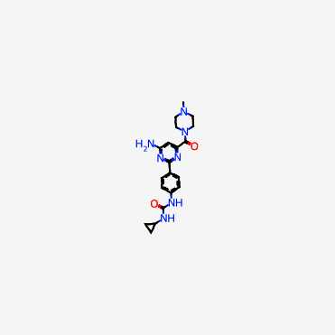 CN1CCN(C(=O)c2cc(N)nc(-c3ccc(NC(=O)NC4CC4)cc3)n2)CC1